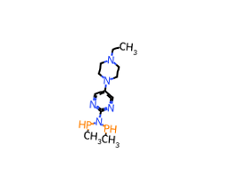 CCN1CCN(c2cnc(N(PC)PC)nc2)CC1